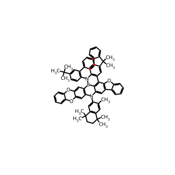 Cc1cc2c(cc1N1c3cc4c(cc3B3c5c1cc1c(oc6ccccc61)c5-c1cc5c(cc1N3c1ccc(C(C)(C)C)cc1-c1ccccc1)-c1ccccc1C5(C)C)Oc1ccccc1O4)C(C)(C)CCC2(C)C